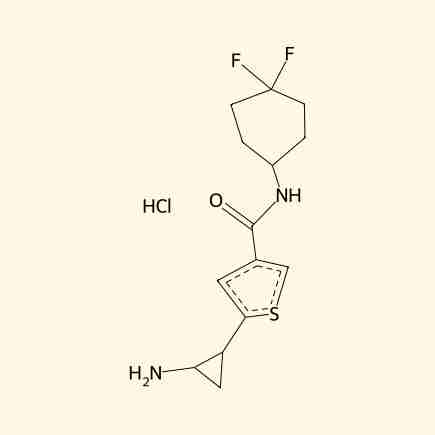 Cl.NC1CC1c1cc(C(=O)NC2CCC(F)(F)CC2)cs1